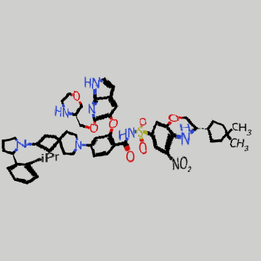 CC(C)c1ccccc1[C@H]1CCCN1C1CC2(CCN(c3ccc(C(=O)NS(=O)(=O)c4cc5c(c([N+](=O)[O-])c4)N[C@@H](C4CCC(C)(C)CC4)CO5)c(Oc4cc5cc[nH]c5nc4OC[C@@H]4COCCN4)c3)CC2)C1